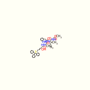 COC(=O)CNC(=O)C(NC(=O)C(Cc1ccccc1)NC(=O)C(C)NC(=O)CC(O)C=CCCSC(c1ccccc1)(c1ccccc1)c1ccccc1)C(C)C